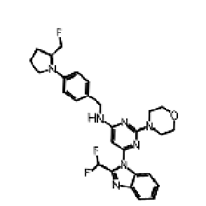 FC[C@@H]1CCCN1c1ccc(CNc2cc(-n3c(C(F)F)nc4ccccc43)nc(N3CCOCC3)n2)cc1